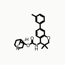 Cc1cccc(-c2ccc3c(c2)OCC(C)(C)C3NC(=O)O[C@H]2CN3CCC2CC3)c1